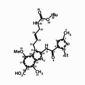 CCn1nc(C)cc1C(=O)Nc1nc2c(C)c(C(=O)O)cc(OC)c2n1CC=CCNC(=O)OC(C)(C)C